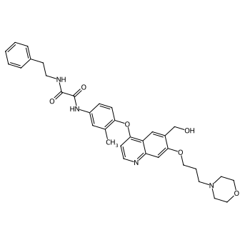 Cc1cc(NC(=O)C(=O)NCCc2ccccc2)ccc1Oc1ccnc2cc(OCCCN3CCOCC3)c(CO)cc12